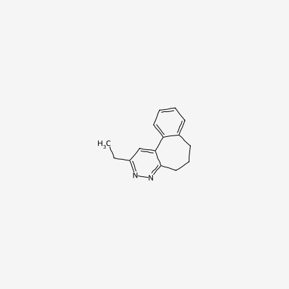 CCc1cc2c(nn1)CCCc1ccccc1-2